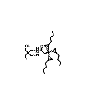 CCC(CO)(CO)CO.CCCCC1CN1C(CC(=O)O)(N1CC1CCCC)N1CC1CCCC